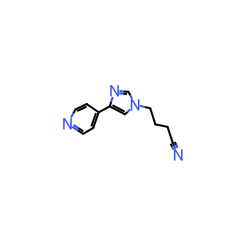 N#CCCCn1cnc(-c2ccncc2)c1